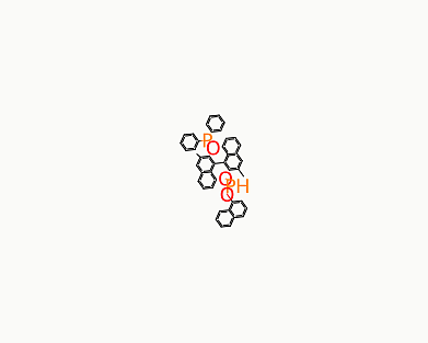 Cc1cc2ccccc2c(-c2c(OP(c3ccccc3)c3ccccc3)c(C)cc3ccccc23)c1OPOc1cccc2ccccc12